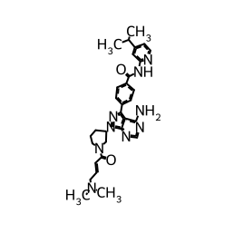 CC(C)c1ccnc(NC(=O)c2ccc(-c3nn(C4CCCN(C(=O)/C=C/CN(C)C)C4)c4ncnc(N)c34)cc2)c1